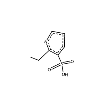 CCc1ncccc1S(=O)(=O)O